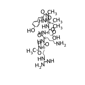 CNC(=O)[C@H](Cc1ccc(O)cc1)NC(=O)[C@@H](NC(=O)[C@H](CC(=O)O)NC(=O)[C@H](CCCCN)NC(=O)[C@H](CCCNC(=N)N)NC(C)=O)C(C)C